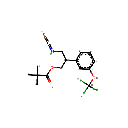 CC(C)(C)C(=O)OCC(CN=C=S)c1cccc(OC(F)(F)F)c1